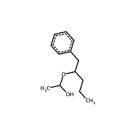 CCCC(Cc1ccccc1)OC(C)O